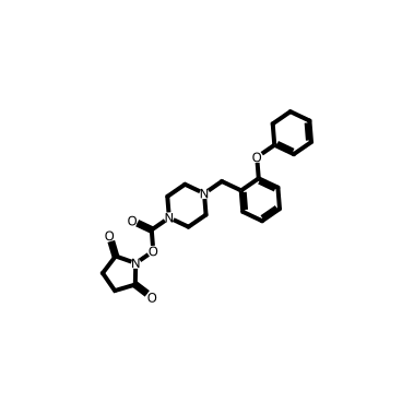 O=C(ON1C(=O)CCC1=O)N1CCN(Cc2ccccc2OC2=CC=CCC2)CC1